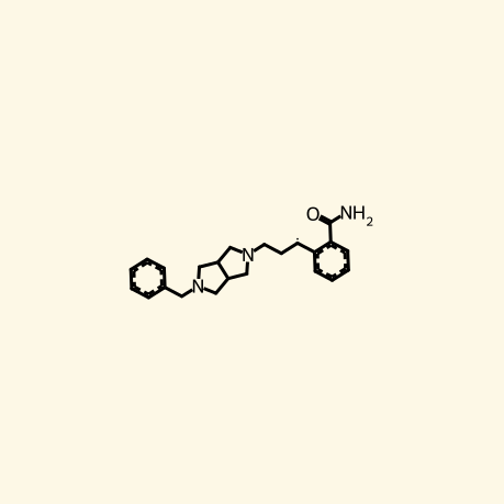 NC(=O)c1ccccc1[CH]CCN1CC2CN(Cc3ccccc3)CC2C1